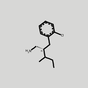 CCC(C)[C@H](CN)Cc1ccccc1Cl